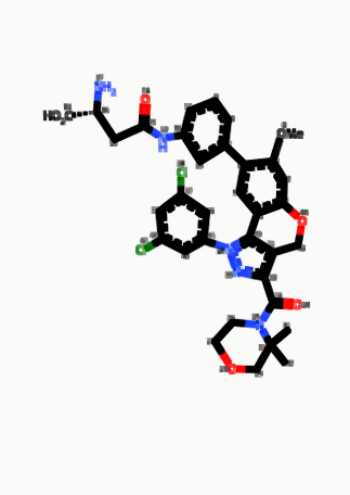 COc1cc2c(cc1-c1cccc(NC(=O)C[C@@H](N)C(=O)O)c1)-c1c(c(C(=O)N3CCOCC3(C)C)nn1-c1cc(Cl)cc(Cl)c1)CO2